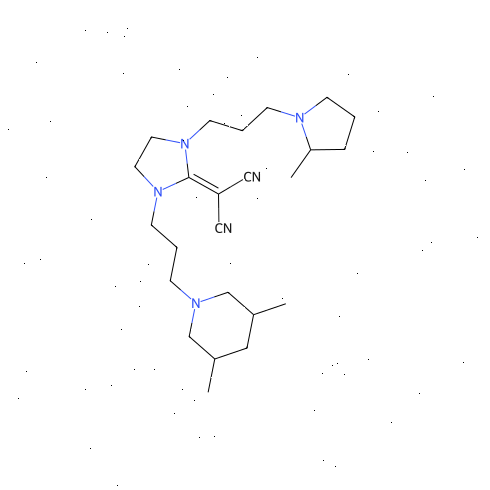 CC1CC(C)CN(CCCN2CCN(CCCN3CCCC3C)C2=C(C#N)C#N)C1